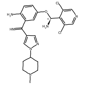 CN1CCC(n2cc(C(=N)c3cc(O[C@H](N)c4c(Cl)cncc4Cl)ccc3N)cn2)CC1